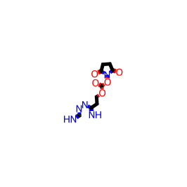 N=C/N=N\C(=N)CCOC(=O)ON1C(=O)CCC1=O